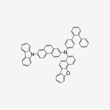 c1ccc(-c2ccccc2-c2ccc(N(c3ccc4c(ccc5cc(-n6c7ccccc7c7ccccc76)ccc54)c3)c3cccc4c3ccc3c5ccccc5oc43)cc2)cc1